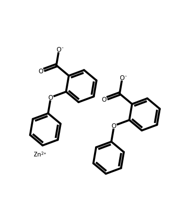 O=C([O-])c1ccccc1Oc1ccccc1.O=C([O-])c1ccccc1Oc1ccccc1.[Zn+2]